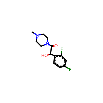 CN1CCN(C(=O)C(O)c2ccc(F)cc2F)CC1